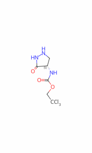 O=C(N[C@H]1CNNC1=O)OCC(Cl)(Cl)Cl